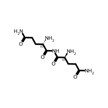 NC(=O)CC[C@H](N)C(=O)NC(=O)[C@@H](N)CCC(N)=O